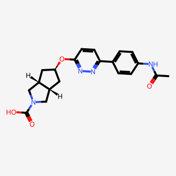 CC(=O)Nc1ccc(-c2ccc(O[C@H]3C[C@@H]4CN(C(=O)O)C[C@@H]4C3)nn2)cc1